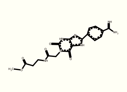 COC(=O)CCNC(=O)Cn1c(=O)[nH]c2nc(-c3ccc(C(=N)N)cc3)[nH]c2c1=O